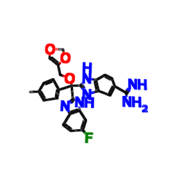 Cc1ccc(C(OCC2=COCO2)(c2nc3cc(C(=N)N)ccc3[nH]2)c2nc3ccc(F)cc3[nH]2)cc1